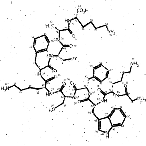 CC(C)C[C@H](NC(=O)[C@H](Cc1ccccc1)NC(=O)[C@H](CCCCN)NC(=O)[C@H](CO)NC(=O)[C@H](Cc1ccccc1)NC(=O)[C@H](Cc1c[nH]c2ccccc12)NC(=O)[C@H](CCCCN)NC(=O)CN)C(=O)N[C@@H](C)C(=O)N[C@@H](CCCCN)C(=O)O